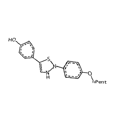 CCCCCOc1ccc(N2NC=C(c3ccc(O)cc3)S2)cc1